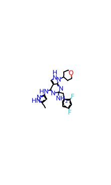 Cc1cc(NC2=NC(N)(Cc3ccc(F)cc3F)N=C3C2=CNN3C2CCOCC2)n[nH]1